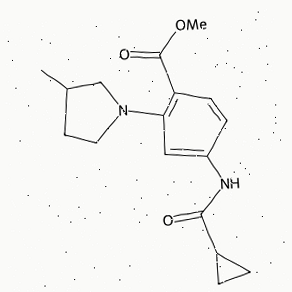 COC(=O)c1ccc(NC(=O)C2CC2)cc1N1CCC(C)C1